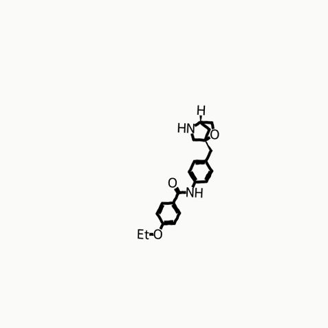 CCOc1ccc(C(=O)Nc2ccc(C[C@]34CN[C@H](CO3)C4)cc2)cc1